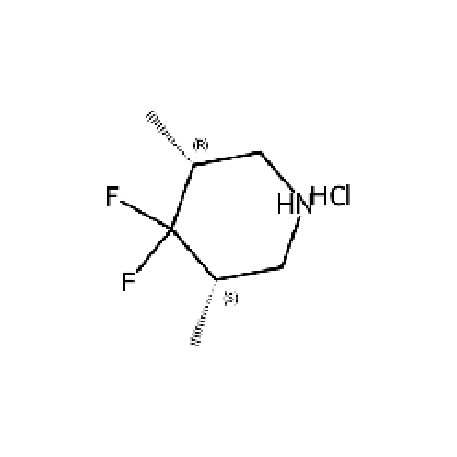 C[C@@H]1CNC[C@H](C)C1(F)F.Cl